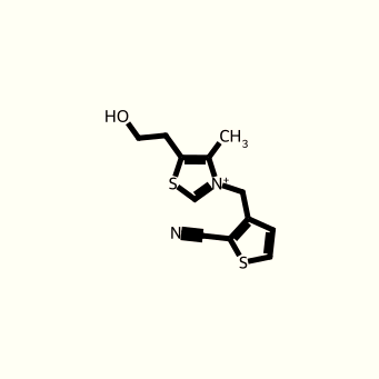 Cc1c(CCO)sc[n+]1Cc1ccsc1C#N